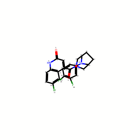 O=C(c1cc(=O)[nH]c2ccc(Br)cc12)N1CC2CCC(C1)N2c1ccc(F)c(F)c1